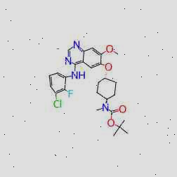 COc1cc2ncnc(Nc3cccc(Cl)c3F)c2cc1O[C@H]1CC[C@H](N(C)C(=O)OC(C)(C)C)CC1